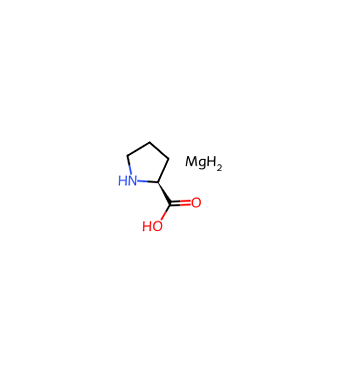 O=C(O)[C@@H]1CCCN1.[MgH2]